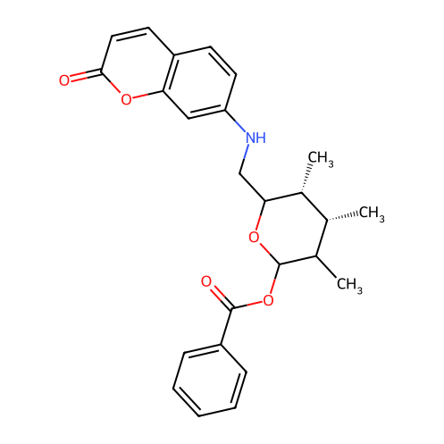 CC1C(OC(=O)c2ccccc2)OC(CNc2ccc3ccc(=O)oc3c2)[C@H](C)[C@@H]1C